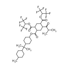 CC1CCC(C(C)(C)C2CCC(OC(=O)C3CC(C(=O)C(C)C)C(C(=O)OC(C(F)(F)F)C(F)(F)F)CC3C(=O)OC(C(F)(F)F)C(F)(F)F)CC2)CC1